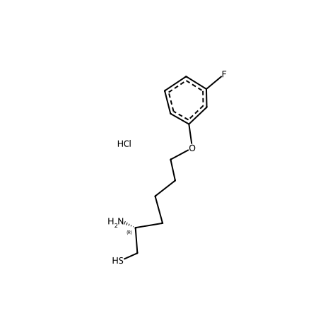 Cl.N[C@@H](CS)CCCCOc1cccc(F)c1